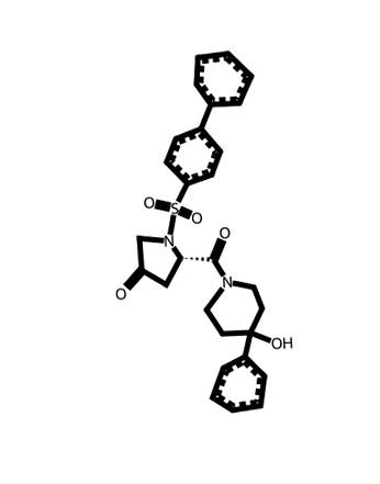 O=C1C[C@@H](C(=O)N2CCC(O)(c3ccccc3)CC2)N(S(=O)(=O)c2ccc(-c3ccccc3)cc2)C1